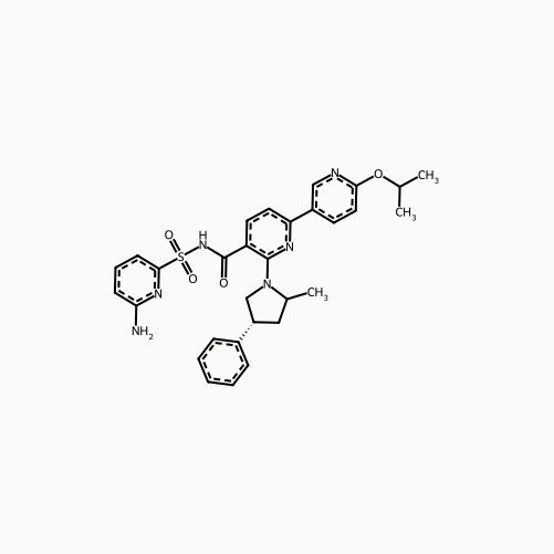 CC(C)Oc1ccc(-c2ccc(C(=O)NS(=O)(=O)c3cccc(N)n3)c(N3C[C@@H](c4ccccc4)CC3C)n2)cn1